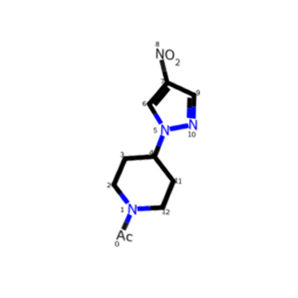 CC(=O)N1CCC(n2cc([N+](=O)[O-])cn2)CC1